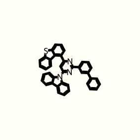 c1ccc(-c2cccc(-c3nc(-c4cccc5sc6ccccc6c45)cc(-n4c5ccccc5c5ccccc54)n3)c2)cc1